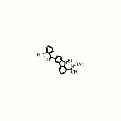 CCn1c2ccc(C(=O)c3ccccc3C)cc2c2cccc(C(C)=NOC(C)=O)c21